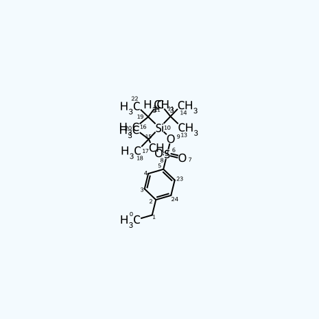 CCc1ccc(S(=O)(=O)O[Si](C(C)(C)C)(C(C)(C)C)C(C)(C)C)cc1